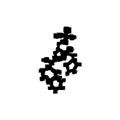 O=C(NCC(COP(=O)(O)O)S(=O)(=O)CC1CCCC1)c1ccc2ccccc2c1